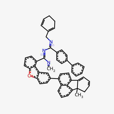 C=N/C(=N\C(=N/CC1=CCCC=C1)c1ccc(-c2ccccc2)cc1)c1cccc2oc3ccc(-c4ccc5c6c(cccc46)C4(C)CC=CC=C54)cc3c12